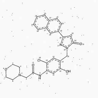 O=C(CN1CCOCC1)Nc1cc(O)c(Cn2nc(-c3ccc4ccccc4c3)oc2=O)cc1Cl